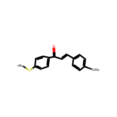 CCCCSc1ccc(C(=O)C=Cc2ccc(OC)cc2)cc1